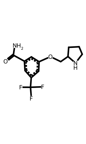 NC(=O)c1cc(OCC2CCCN2)cc(C(F)(F)F)c1